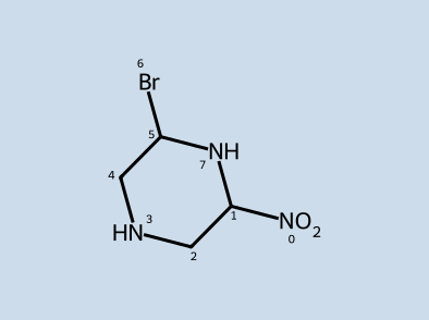 O=[N+]([O-])C1CNCC(Br)N1